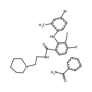 Cc1cc(Br)ccc1Nc1c(C(=O)NCCN2CCCCC2)ccc(F)c1F.NC(=O)c1ccccc1